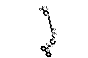 NC(=O)C1CCN(CCCCCCC(=O)CNCCN2CCC(OC(=O)Nc3ccccc3-c3ccccc3)CC2)CC1